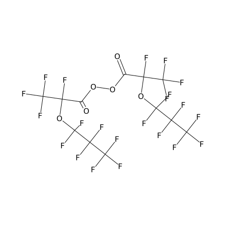 O=C(OOC(=O)C(F)(OC(F)(F)C(F)(F)C(F)(F)F)C(F)(F)F)C(F)(OC(F)(F)C(F)(F)C(F)(F)F)C(F)(F)F